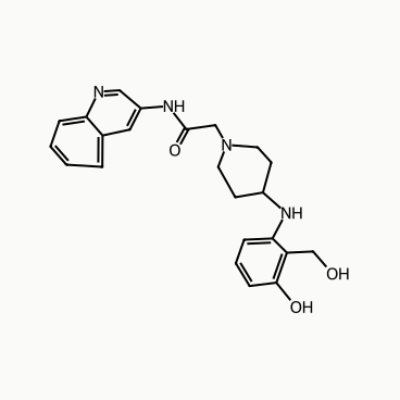 O=C(CN1CCC(Nc2cccc(O)c2CO)CC1)Nc1cnc2ccccc2c1